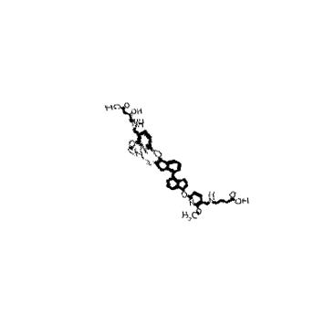 COc1nc(OC2CCc3c(-c4cccc5c4CCC5Oc4ccc(CNC[C@@H](O)CC(=O)O)c(OC)n4)cccc32)ccc1CNCCCC(=O)O